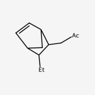 CCC1C2C=CC(C2)C1CC(C)=O